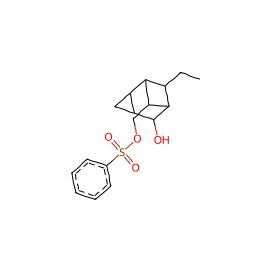 CCC1C2C(O)C3CC3C1C2COS(=O)(=O)c1ccccc1